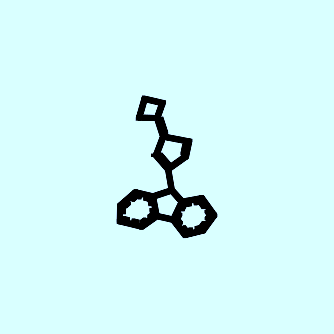 [C]1=C(C2c3ccccc3-c3ccccc32)C=CC1=C1CCC1